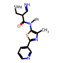 CSCC(C=N)C(=O)N(c1sc(-c2cccnc2)nc1C)C(C)C